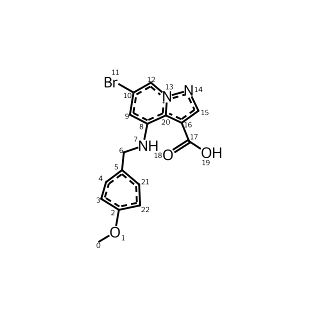 COc1ccc(CNc2cc(Br)cn3ncc(C(=O)O)c23)cc1